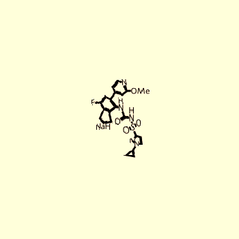 COc1cc(-c2cc(F)c3c(c2NC(=O)NS(=O)(=O)c2ccn(C4CC4)n2)CCC3)ccn1.[NaH]